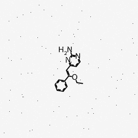 CCO/C(=C\c1ccnc(N)n1)c1ccccc1